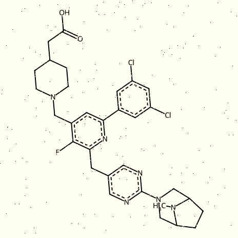 CN1C2CCC1CN(c1ncc(Cc3nc(-c4cc(Cl)cc(Cl)c4)cc(CN4CCC(CC(=O)O)CC4)c3F)cn1)C2